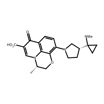 CNC1([C@@H]2CCN(c3ccc4c(=O)c(C(=O)O)cn5c4c3OC[C@@H]5C)C2)CC1